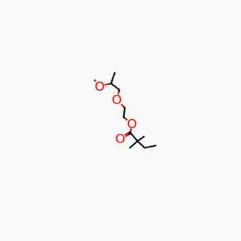 CCC(C)(C)C(=O)OCCOCC(C)OC